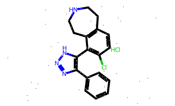 Cl.Clc1ccc2c(c1-c1[nH]nnc1-c1ccccc1)CCNCC2